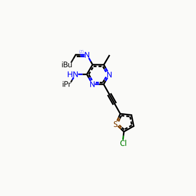 CCC(C)/C=N\c1c(C)nc(C#Cc2ccc(Cl)s2)nc1NC(C)C